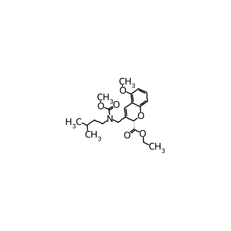 CCOC(=O)[C@H]1Oc2cccc(OC)c2C=C1CN(CCC(C)C)C(=O)OC